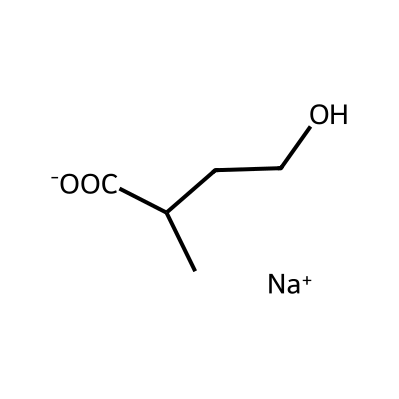 CC(CCO)C(=O)[O-].[Na+]